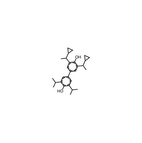 CC(C)c1cc(-c2cc(C(C)C3CC3)c(O)c(C(C)C3CC3)c2)cc(C(C)C)c1O